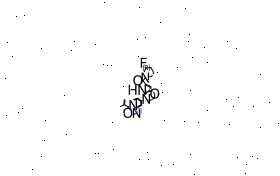 C=C(C)C(=O)n1ccc(N2CCOc3cc(C(=O)N4CCC[C@@H](F)C4)[nH]c32)c/c1=N/C